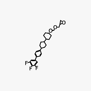 Fc1cc(-c2ccc(C3CCC(C4CCC(OCOCC5CO5)CC4)CC3)cc2)cc(F)c1F